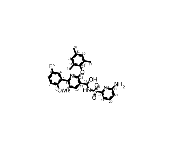 COc1ccc(F)cc1-c1ccc(C(O)NS(=O)(=O)c2cccc(N)n2)c(Oc2c(C)cc(C)cc2C)n1